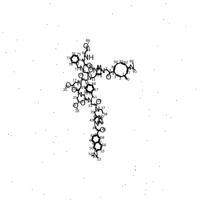 C=C1/C=C\C(C(=O)Cn2cc(CN(CC(=O)N(CCOC)CC(=O)N(CCOC)CC(=O)N(CC(=O)N(CC)Cc3cn(CC(=O)c4ccc5cc(N(C)C)ccc5c4)nn3)Cc3ccccc3)C(=O)CN(Cc3ccccc3)C(=O)CNCCOC)nn2)=C/C/C=C\C(N(C)C)=C/1